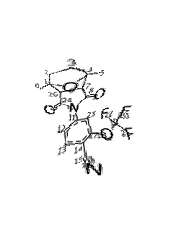 CC12CCC(C)(O1)C1C(=O)N(c3ccc(C#N)c(OC(F)(F)F)c3)C(=O)C12